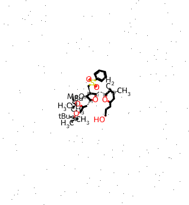 C=C1[C@H](C)CC(CCCO)O[C@@H]1C[C@@H]1O[C@H](CC(CO[Si](C)(C)C(C)(C)C)O[Si](C)(C)C(C)(C)C)[C@H](OC)[C@H]1CS(=O)(=O)c1ccccc1